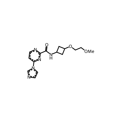 COCCOC1CC(NC(=O)c2nccc(-n3ccnc3)n2)C1